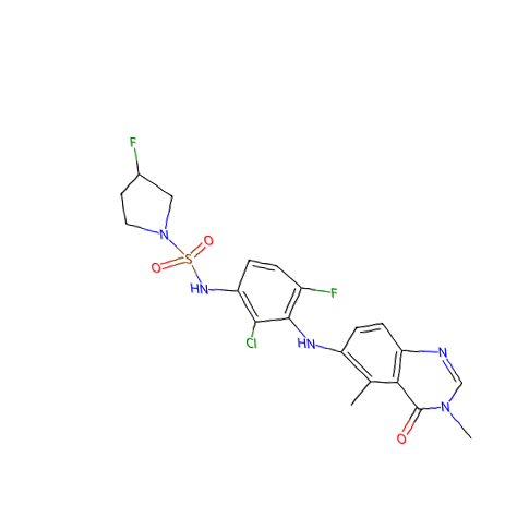 Cc1c(Nc2c(F)ccc(NS(=O)(=O)N3CCC(F)C3)c2Cl)ccc2ncn(C)c(=O)c12